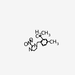 C=C(C)c1cc(C)ccc1CN1CCN=C1[N+](=O)[O-]